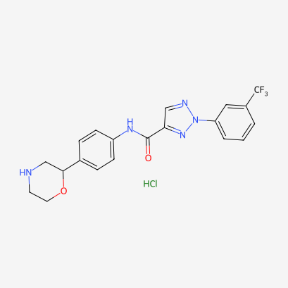 Cl.O=C(Nc1ccc(C2CNCCO2)cc1)c1cnn(-c2cccc(C(F)(F)F)c2)n1